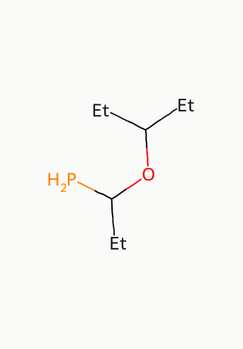 CCC(P)OC(CC)CC